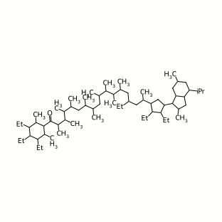 CCC(CC(C)C(C)C(C)C(C)CC(C)C(C)CC(C)C(C)C(C)C(C)C(=O)C1C(C)C(CC)C(CC)C(CC)C1C)CC(C)C1CC(C2C(C)CC3C(C(C)C)CC(C)CC32)C(CC)C1CC